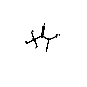 CC(C)(C)C(=O)C(F)F